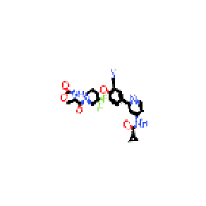 N#Cc1cc(-c2cc(NC(=O)C3CC3)ccn2)ccc1O[C@H]1CCN(C(=O)C2COC(=O)N2)CC1(F)F